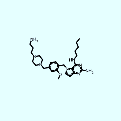 CCCCCNc1nc(N)nc2ccn(Cc3ccc(CN4CCN(CCCN)CC4)cc3OC)c12